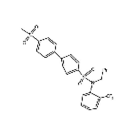 CC(C)CN(c1ccccc1C(F)(F)F)S(=O)(=O)c1ccc(-c2ccc(S(C)(=O)=O)cc2)cc1